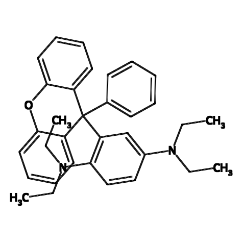 CCN(CC)c1ccc(N(CC)CC)c(C2(c3ccccc3)c3ccccc3Oc3ccccc32)c1